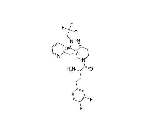 NC(CCc1ccc(Br)c(F)c1)C(=O)N1CCC2=NN(CC(F)(F)F)C(=O)[C@]2(Cc2ccccn2)C1